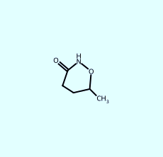 CC1CCC(=O)NO1